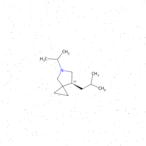 CC(C)C[C@@H]1CN(C(C)C)CC12CC2